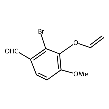 C=COc1c(OC)ccc(C=O)c1Br